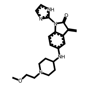 C=C1C(=O)N(c2ncc[nH]2)c2ccc(NC3CCN(CCOC)CC3)cc21